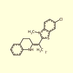 CC(=C1CCc2ccccc2N1)c1sc2cc(Cl)ccc2[n+]1C.[I-]